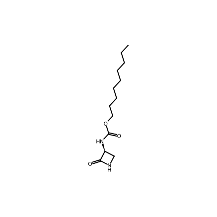 CCCCCCCCCOC(=O)N[C@H]1CNC1=O